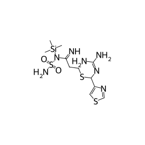 C[Si](C)(C)N(C(=N)CCSC(N=C(N)N)c1cscn1)S(N)(=O)=O